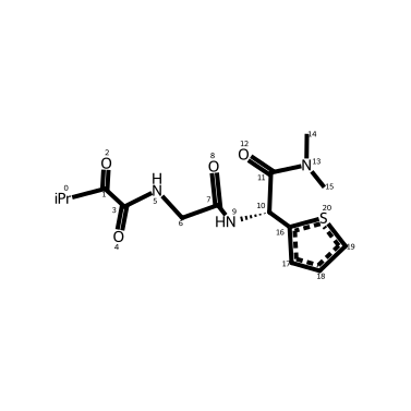 CC(C)C(=O)C(=O)NCC(=O)N[C@H](C(=O)N(C)C)c1cccs1